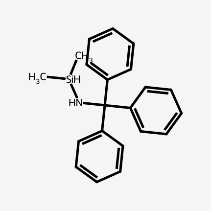 C[SiH](C)NC(c1ccccc1)(c1ccccc1)c1ccccc1